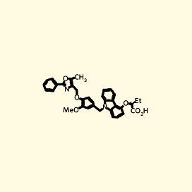 CC[C@H](Oc1cccc2c1c1ccccc1n2Cc1ccc(OCc2nc(-c3ccccc3)oc2C)c(OC)c1)C(=O)O